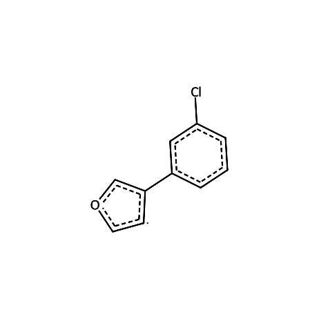 Clc1cccc(-c2[c]coc2)c1